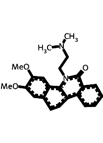 COc1cc2ccc3c4ccccc4c(=O)n(CCN(C)C)c3c2cc1OC